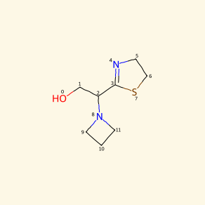 OCC(C1=NCCS1)N1CCC1